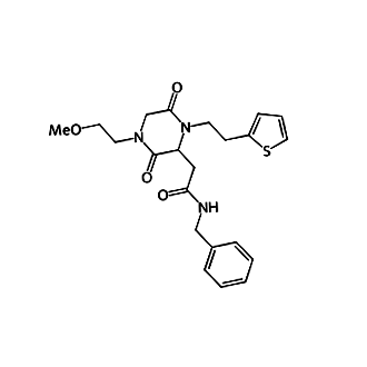 COCCN1CC(=O)N(CCc2cccs2)C(CC(=O)NCc2ccccc2)C1=O